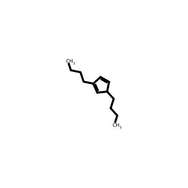 CCCC[C]1C=CC(CCCC)=C1